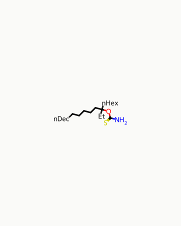 CCCCCCCCCCCCCCCC(CC)(CCCCCC)OC(N)=S